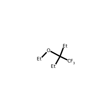 CCOC(CC)(CC)C(F)(F)F